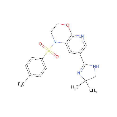 CC1(C)CNC(c2cnc3c(c2)N(S(=O)(=O)c2ccc(C(F)(F)F)cc2)CCO3)=N1